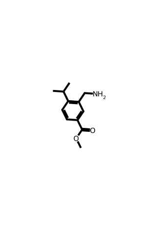 COC(=O)c1ccc(C(C)C)c(CN)c1